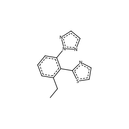 CCc1cccc(-n2nccn2)c1-c1nccs1